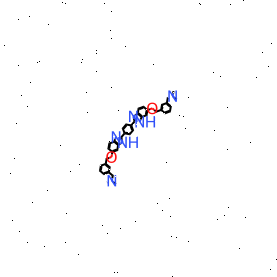 CN(C)Cc1cccc(COc2ccc3nc(-c4ccc(-c5nc6ccc(OCc7cccc(CN(C)C)c7)cc6[nH]5)cc4)[nH]c3c2)c1